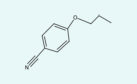 C[CH]COc1ccc(C#N)cc1